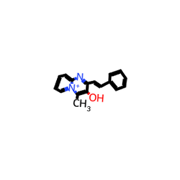 Cc1c(O)c(/C=C/c2ccccc2)nc2cccc[n+]12